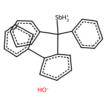 [OH-].[SbH3+][C](c1ccccc1)(c1ccccc1)c1ccccc1-c1ccccc1